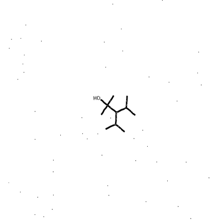 CC(C)[C](C(C)C)C(C)(C)O